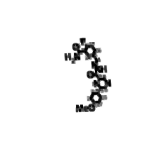 COc1ccc(-c2cncc(C(=O)NN=Cc3ccc(F)c(C(N)=O)c3)n2)cc1